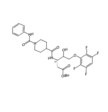 CC(C)COC(=O)C[C@H](NC(=O)C1CCN(C(=O)Nc2ccccc2)CC1)C(O)COc1c(F)c(F)cc(F)c1F